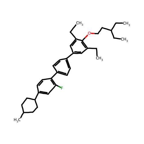 CCc1cc(-c2ccc(-c3ccc(C4CCC(C)CC4)cc3F)cc2)cc(CC)c1OCCC(CC)CC